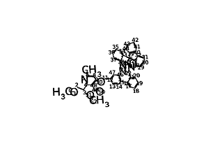 COCCc1nc(C)cc(OCc2ccc(-c3ccccc3-c3nnn(C(c4ccccc4)(c4ccccc4)c4ccccc4)n3)cc2)c1C(=O)OC